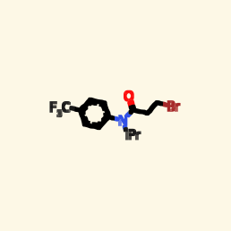 CC(C)N(C(=O)CCBr)c1ccc(C(F)(F)F)cc1